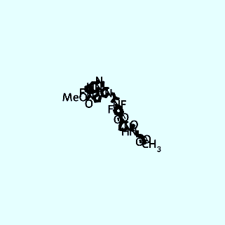 COC(=O)N[C@H]1CCC[C@@H]1[C@@]1(C2CCN(CC3CN(c4c(F)cc(S(=O)(=O)[C@@H]5CCCN(C(=O)NC/C=C/S(C)(=O)=O)C5)cc4F)C3)CC2)c2cc(F)cc(c2)Cc2nccn21